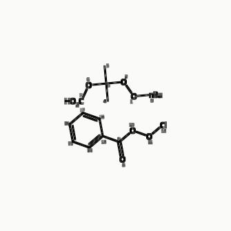 CCCCOOC(C)(C)OC(=O)O.O=C(OOCl)c1ccccc1